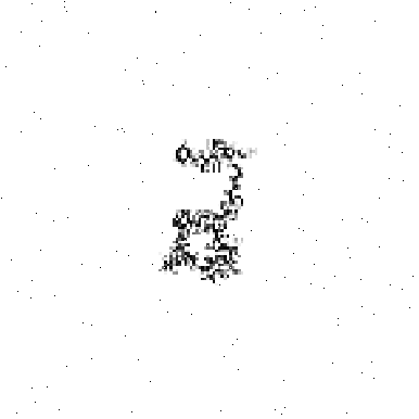 CC(OC(=O)CCC(=O)OC(CNC(C)(C)C)COc1nsnc1N1CCOCC1)C(=O)OC(C)C(=O)OC(C)C(=O)OC(C)C(=O)OC(C)C(=O)OC(=O)CCC/C=C\C[C@H]1[C@H](CC[C@H](O)CCc2ccccc2)[C@@H](O)C[C@H]1O